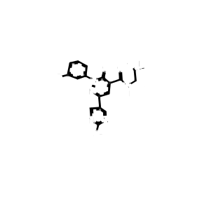 C[C@H](O)[C@H](C)NC(=O)c1cc(-c2cnc(C(F)(F)F)nc2)nn(-c2cccc(F)c2)c1=O